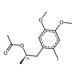 COc1cc(I)c(C[C@@H](C)OC(C)=O)cc1OC